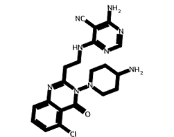 N#Cc1c(N)ncnc1NCCc1nc2cccc(Cl)c2c(=O)n1N1CCC(N)CC1